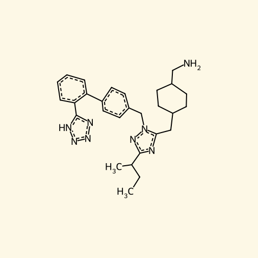 CCC(C)c1nc(CC2CCC(CN)CC2)n(Cc2ccc(-c3ccccc3-c3nnn[nH]3)cc2)n1